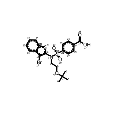 CC(C)(C)OCCN(c1sc2ccccc2c1Br)S(=O)(=O)c1ccc(C(=O)O)cc1